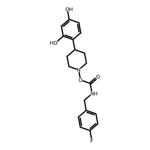 O=C(NCc1ccc(F)cc1)ON1CCC(c2ccc(O)cc2O)CC1